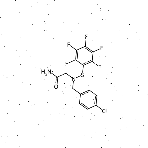 NC(=O)CN(Cc1ccc(Cl)cc1)Sc1c(F)c(F)c(F)c(F)c1F